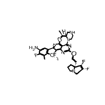 Cc1c(F)c(N)cc(-c2nc3c4c(nc(OCC[C@@]56CCCN5C[C@@H](F)[C@H]6F)nc4c2F)N2CCNC[C@H]2[C@H](C)O3)c1C(F)(F)F